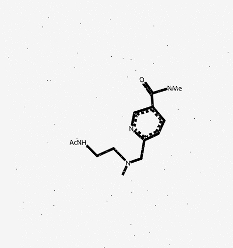 CNC(=O)c1ccc(CN(C)CCNC(C)=O)nc1